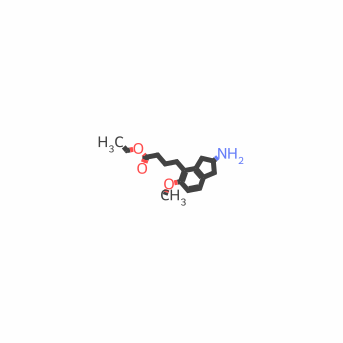 CCOC(=O)CCCc1c(OC)ccc2c1CC(N)C2